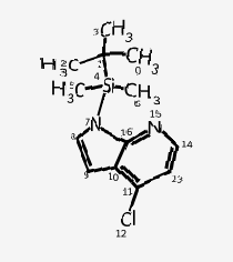 CC(C)(C)[Si](C)(C)n1ccc2c(Cl)ccnc21